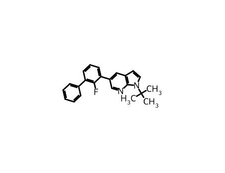 CC(C)(C)n1ccc2cc(-c3cccc(-c4ccccc4)c3F)cnc21